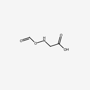 O=[C]ONCC(=O)O